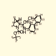 CC(C)(C)OC(=O)N1CC2C[C@@H]2[C@H]1C(=O)Nc1cccc(-c2ccccc2Cl)c1F